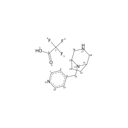 O=C(O)C(F)(F)F.c1cc(CN2C3CCC2CNC3)ccn1